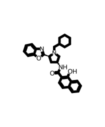 O=C(N[C@H]1C[C@@H](c2nc3ccccc3o2)N(CC2CCCCC2)C1)c1ccc2ccccc2c1O